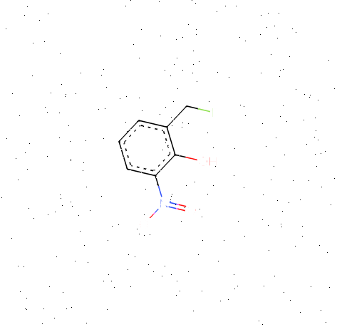 O=[N+]([O-])c1cccc([CH]F)c1O